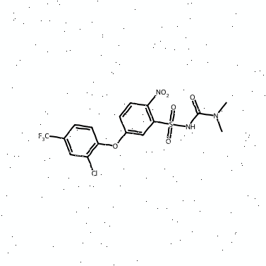 CN(C)C(=O)NS(=O)(=O)c1cc(Oc2ccc(C(F)(F)F)cc2Cl)ccc1[N+](=O)[O-]